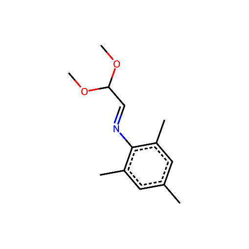 COC(C=Nc1c(C)cc(C)cc1C)OC